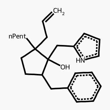 C=CCC1(CCCCC)CCC(Cc2ccccc2)C1(O)Cc1ccc[nH]1